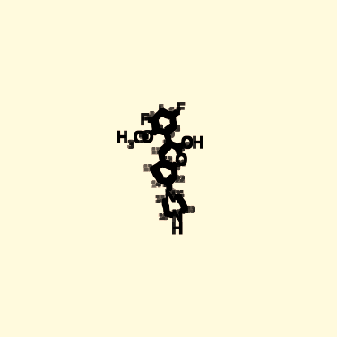 COc1c(F)cc(F)cc1C1=Cc2ccc(N3CCNCC3)cc2OC1O